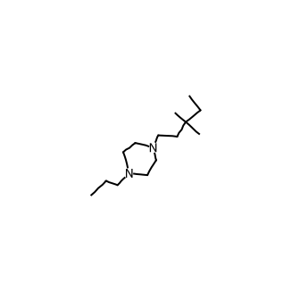 CCCN1CCN(CCC(C)(C)CC)CC1